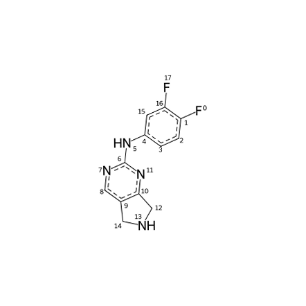 Fc1ccc(Nc2ncc3c(n2)CNC3)cc1F